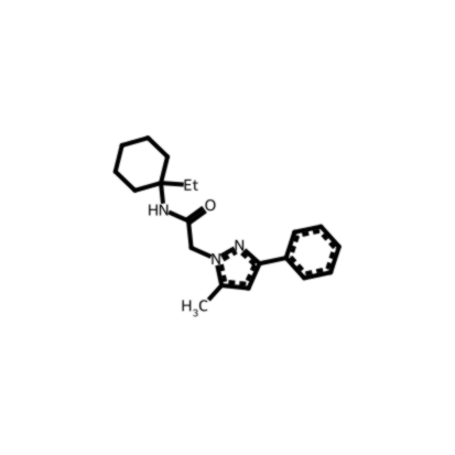 CCC1(NC(=O)Cn2nc(-c3ccccc3)cc2C)CCCCC1